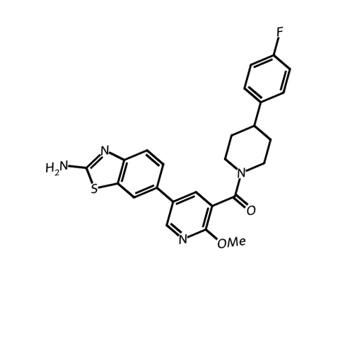 COc1ncc(-c2ccc3nc(N)sc3c2)cc1C(=O)N1CCC(c2ccc(F)cc2)CC1